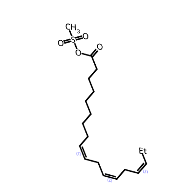 CC/C=C\C/C=C\C/C=C\CCCCCCCC(=O)OS(C)(=O)=O